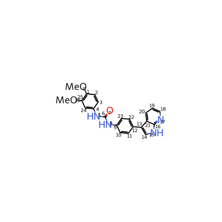 COc1ccc(NC(=O)Nc2ccc(-c3c[nH]c4ncccc34)cc2)cc1OC